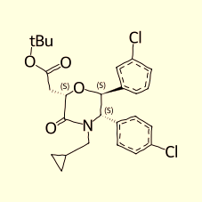 CC(C)(C)OC(=O)C[C@@H]1O[C@@H](c2cccc(Cl)c2)[C@H](c2ccc(Cl)cc2)N(CC2CC2)C1=O